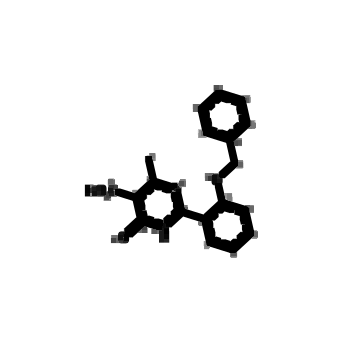 CCOC(=O)c1c(C)nc(-c2ccccc2OCc2ccccc2)[nH]c1=O